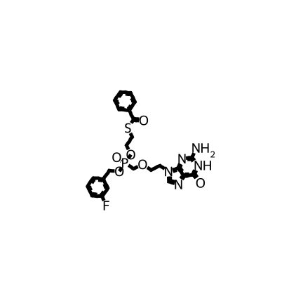 Nc1nc2c(ncn2CCOCP(=O)(OCCSC(=O)c2ccccc2)OCc2cccc(F)c2)c(=O)[nH]1